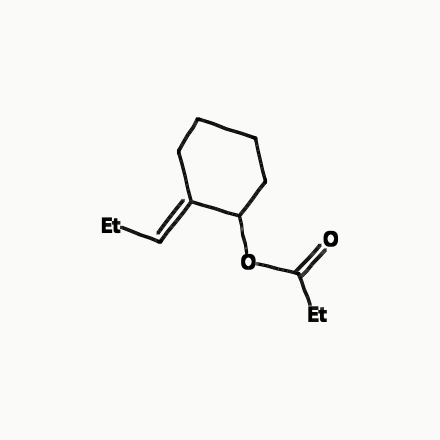 CCC=C1CCCCC1OC(=O)CC